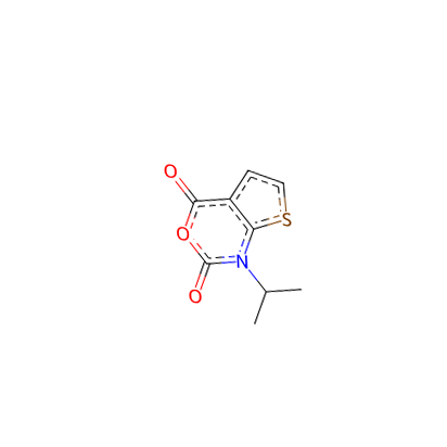 CC(C)n1c(=O)oc(=O)c2ccsc21